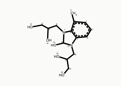 Cc1cccc2c1N(CC(O)CO)C(O)N2CC(O)CO